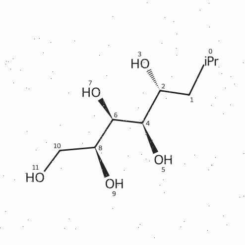 CC(C)C[C@@H](O)[C@@H](O)[C@H](O)[C@@H](O)CO